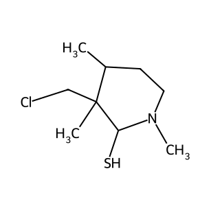 CC1CCN(C)C(S)C1(C)CCl